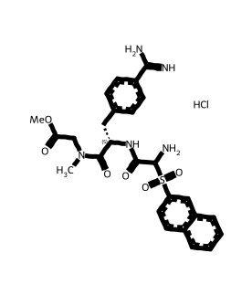 COC(=O)CN(C)C(=O)[C@H](Cc1ccc(C(=N)N)cc1)NC(=O)C(N)S(=O)(=O)c1ccc2ccccc2c1.Cl